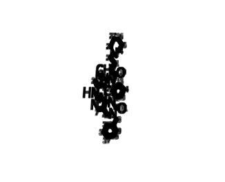 Cn1cc(Nc2ncc3c(n2)N(c2cccc(NC(=O)/C=C/CN4CCCCC4)c2)C(=O)N(Cc2ccccc2)C3)c(Cl)n1